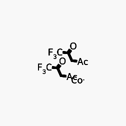 CC(=O)CC(=O)C(F)(F)F.CC(=O)CC(=O)C(F)(F)F.[Co]